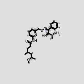 COC(C)CC(C)CCC(=O)Nc1cccc(CO/N=C(\C(=N)N(C)N)c2ccccc2)n1